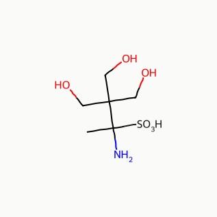 CC(N)(C(CO)(CO)CO)S(=O)(=O)O